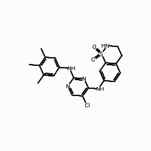 Cc1cc(Nc2ncc(Cl)c(Nc3ccc4c(c3)S(=O)(=O)NCC4)n2)cc(C)c1C